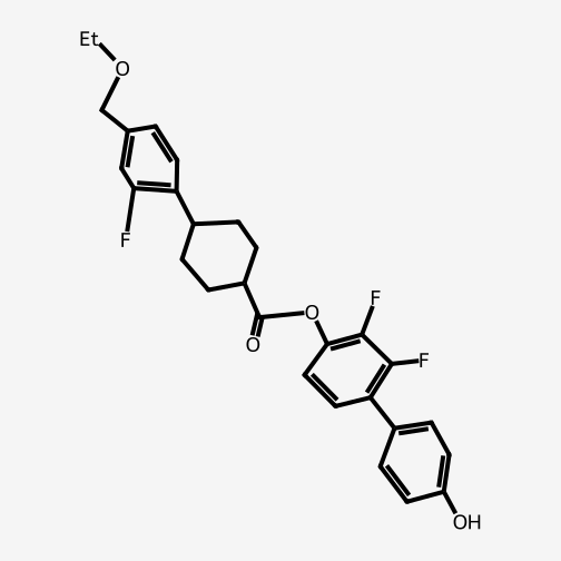 CCOCc1ccc(C2CCC(C(=O)Oc3ccc(-c4ccc(O)cc4)c(F)c3F)CC2)c(F)c1